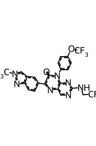 Cn1cc2cc(-c3nc4cnc(NCC(F)(F)F)nc4n(-c4ccc(OC(F)(F)F)cc4)c3=O)ccc2n1